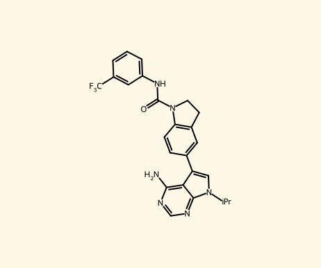 CC(C)n1cc(-c2ccc3c(c2)CCN3C(=O)Nc2cccc(C(F)(F)F)c2)c2c(N)ncnc21